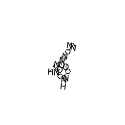 CCCC1(C(=O)Nc2ccc3[nH]nc(-c4cccc(OC)c4)c3c2)CCN(CC(=O)N2CCN(c3ccc(-c4ncccn4)cc3)CC2)C1